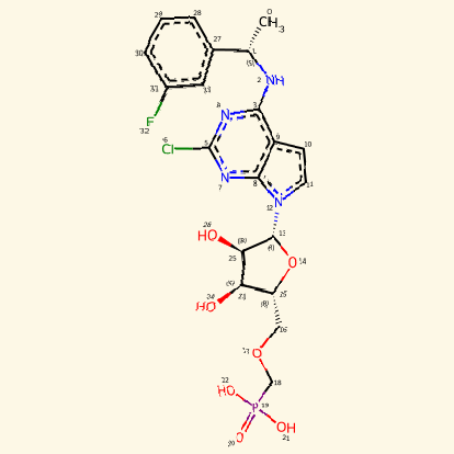 C[C@H](Nc1nc(Cl)nc2c1ccn2[C@@H]1O[C@H](COCP(=O)(O)O)[C@@H](O)[C@H]1O)c1cccc(F)c1